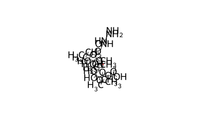 CCC(C)(C)OC1C(COCC(=O)O)OC(C(C)(CC)C(C)(CC)OC2C(COCC(=O)NNCCNN)OC(C(C)(C)CC)C(O)C2O)C(O)C1O